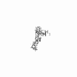 CC(NC(=O)c1ccc(OCc2cccc(F)c2)nc1)C1CCCCO1